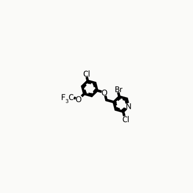 FC(F)(F)Oc1cc(Cl)cc(OCc2cc(Cl)ncc2Br)c1